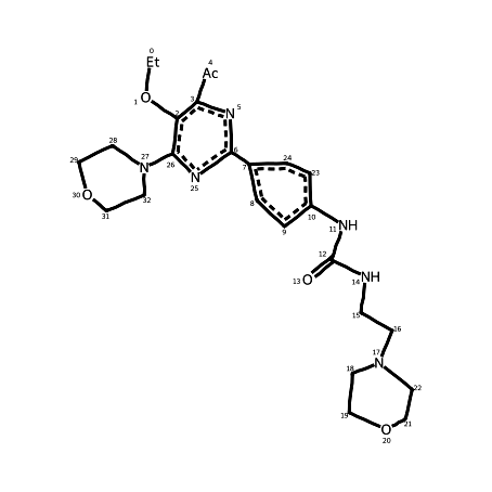 CCOc1c(C(C)=O)nc(-c2ccc(NC(=O)NCCN3CCOCC3)cc2)nc1N1CCOCC1